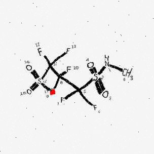 CNS(=O)(=O)C(F)(F)C(F)(F)C(F)(F)S(=O)(=O)F